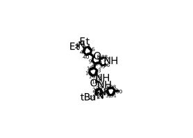 CCN(CC)c1ccc(C(=O)CC(c2cccc(NC(=O)Nc3cc(C(C)(C)C)nn3-c3ccc(C)cc3)c2)C2CCNCC2)cc1